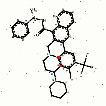 C[C@H](NC(=O)c1c(CN2CCC(N3CCCCC3)CC2)c(-c2ccc(F)c(C(F)(F)F)c2)nc2cccnc12)c1ccccc1